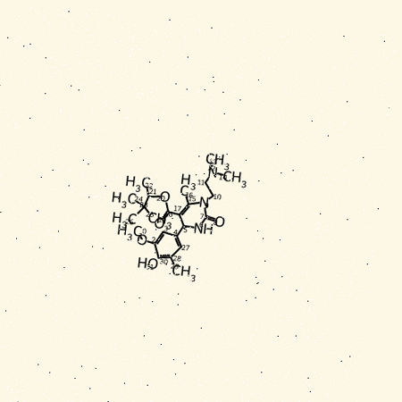 COc1cc(C2NC(=O)N(CCN(C)C)C(C)=C2C(=O)OC(C)C(C)(C)C)cc(C)c1O